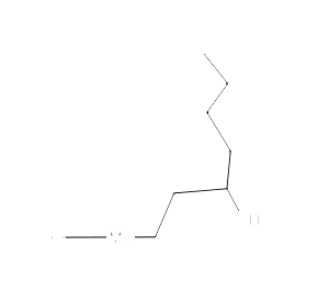 CC(C)CCCC(C)C[CH2][Mg][Cl]